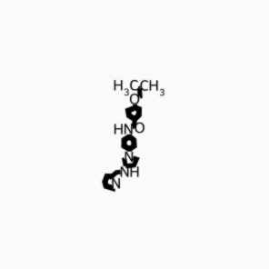 CC(C)COc1ccc(C(=O)Nc2ccc(N3CCC(NCc4ccccn4)C3)cc2)cc1